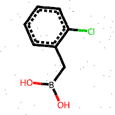 OB(O)Cc1ccccc1Cl